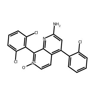 Nc1cc(-c2ccccc2Cl)c2cc[n+]([O-])c(-c3c(Cl)cccc3Cl)c2n1